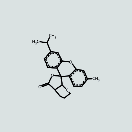 Cc1ccc2c(c1)Oc1cc(C(C)C)ccc1C21OC(=O)C2CCCCC21